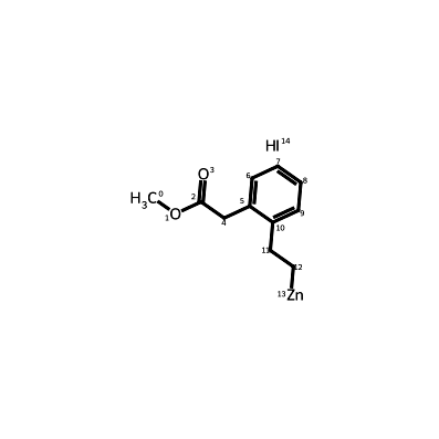 COC(=O)Cc1ccccc1C[CH2][Zn].I